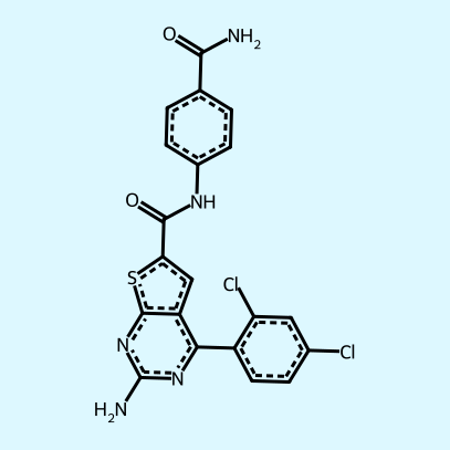 NC(=O)c1ccc(NC(=O)c2cc3c(-c4ccc(Cl)cc4Cl)nc(N)nc3s2)cc1